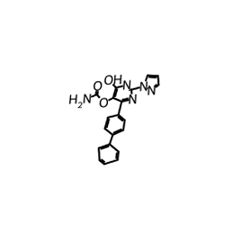 NC(=O)Oc1c(O)nc(-n2cccn2)nc1-c1ccc(-c2ccccc2)cc1